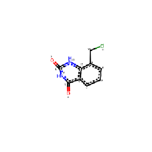 O=c1[nH]c(=O)c2cccc(CCl)c2[nH]1